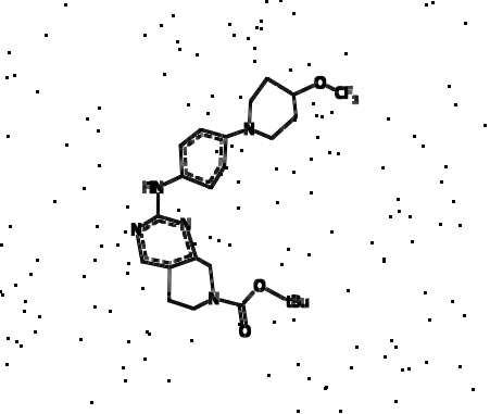 CC(C)(C)OC(=O)N1CCc2cnc(Nc3ccc(N4CCC(OC(F)(F)F)CC4)cc3)nc2C1